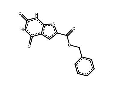 O=C(OCc1ccccc1)c1cc2c(=O)[nH]c(=O)[nH]c2s1